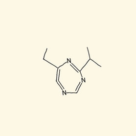 CCC1=C=NC=NC(C(C)C)=N1